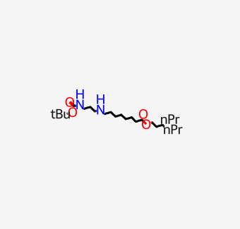 CCCC(CCC)CCOC(=O)CCCCCCCNCCCNC(=O)OC(C)(C)C